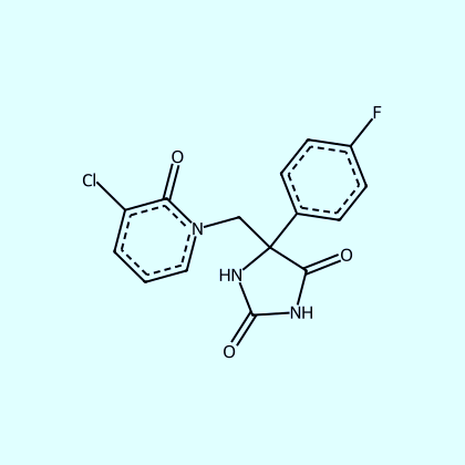 O=C1NC(=O)C(Cn2cccc(Cl)c2=O)(c2ccc(F)cc2)N1